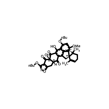 CCCCOc1noc2c1C(=O)[C@]1(O)C(=O)c3c(c4c5c(c(OC)cc(OCCCC)c5c3O)[C@@]3(C4)C(C)=CCCC3(C)C)C(=O)[C@@H]1C2